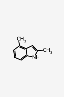 Cc1cc2c(C)[c]ccc2[nH]1